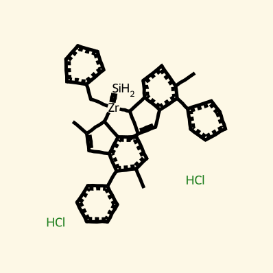 CC1=Cc2c(ccc(C)c2-c2ccccc2)[CH]1[Zr](=[SiH2])([CH2]c1ccccc1)[CH]1C(C)=Cc2c1ccc(C)c2-c1ccccc1.Cl.Cl